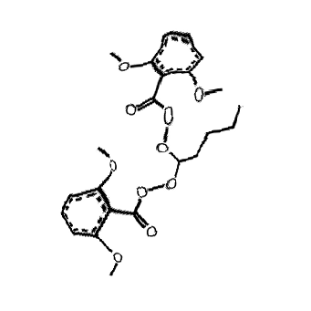 [CH2]CCC[C](OOC(=O)c1c(OC)cccc1OC)OOC(=O)c1c(OC)cccc1OC